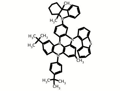 Cc1cc2c3c(c1)N(c1cccc4sc5ccccc5c14)c1cc(N4c5ccccc5C5(C)CCCCC45C)ccc1B3c1cc(C(C)(C)C)ccc1N2c1ccc(C(C)(C)C)cc1